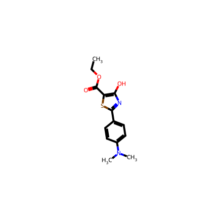 CCOC(=O)c1sc(-c2ccc(N(C)C)cc2)nc1O